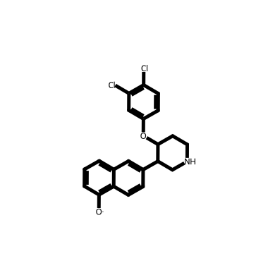 [O]c1cccc2cc(C3CNCCC3Oc3ccc(Cl)c(Cl)c3)ccc12